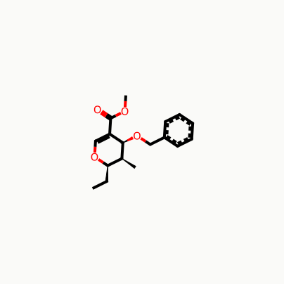 CC[C@H]1OC=C(C(=O)OC)[C@@H](OCc2ccccc2)[C@H]1C